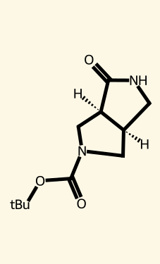 CC(C)(C)OC(=O)N1C[C@@H]2CNC(=O)[C@@H]2C1